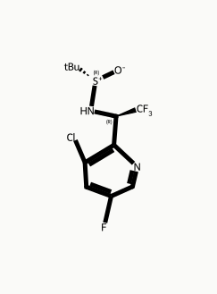 CC(C)(C)[S@+]([O-])N[C@H](c1ncc(F)cc1Cl)C(F)(F)F